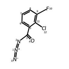 [N-]=[N+]=NC(=O)c1cccc(F)c1Cl